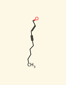 CCCCCC#C/C=C/C=O